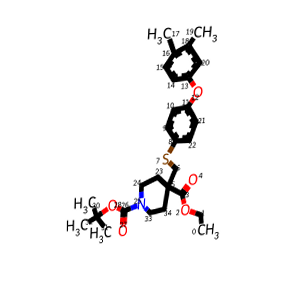 CCOC(=O)C1(CSc2ccc(Oc3ccc(C)c(C)c3)cc2)CCN(C(=O)OC(C)(C)C)CC1